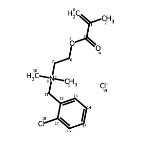 C=C(C)C(=O)OCC[N+](C)(C)Cc1ccccc1Cl.[Cl-]